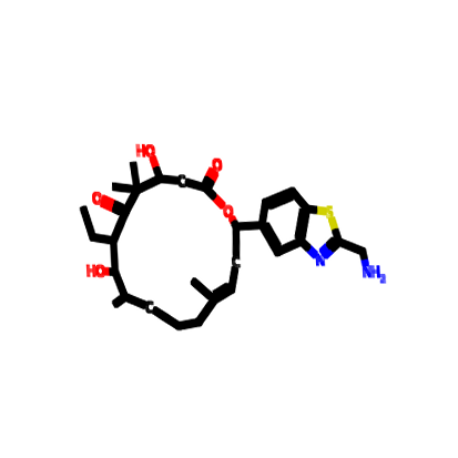 CCC1C(=O)C(C)(C)C(O)CC(=O)OC(c2ccc3sc(CN)nc3c2)C/C=C(\C)CCCC(C)C1O